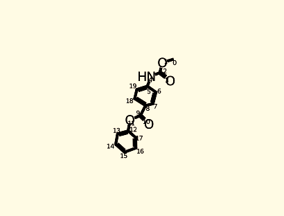 COC(=O)Nc1ccc(C(=O)Oc2ccccc2)cc1